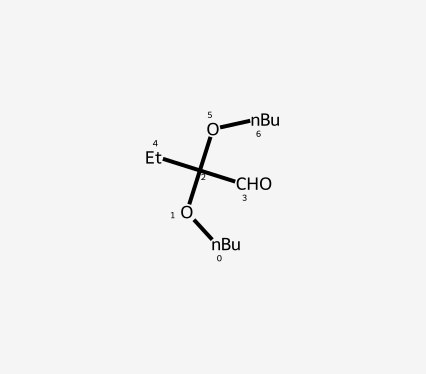 CCCCOC(C=O)(CC)OCCCC